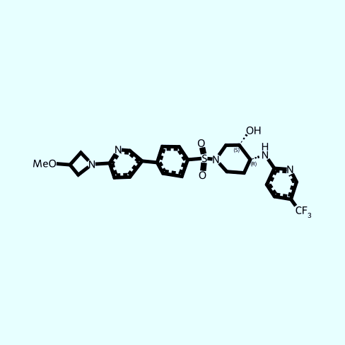 COC1CN(c2ccc(-c3ccc(S(=O)(=O)N4CC[C@@H](Nc5ccc(C(F)(F)F)cn5)[C@@H](O)C4)cc3)cn2)C1